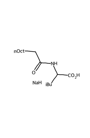 CCCCCCCCCC(=O)NC(C(=O)O)C(C)CC.[NaH]